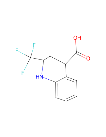 O=C(O)C1CC(C(F)(F)F)Nc2ccccc21